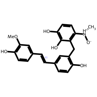 COc1cc(/C=C/c2ccc(O)c(Cc3c([NH+](C)[O-])ccc(O)c3O)c2)ccc1O